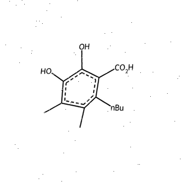 CCCCc1c(C)c(C)c(O)c(O)c1C(=O)O